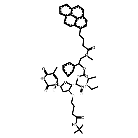 CCN(CC)[PH](=O)C(OC(=O)OC(CN(C)C(=O)CCCc1ccc2ccc3cccc4ccc1c2c34)c1ccccc1)[C@H]1O[C@@H]([N+]2([O-])C=C(C)C(=O)NC2=O)C[C@@H]1OCCCC(=O)NC(C)(C)C